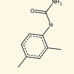 Cc1ccc([N]C(N)=O)c(C)c1